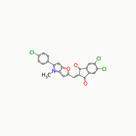 Cn1c(-c2ccc(Cl)cc2)cc2oc(C=C3C(=O)c4cc(Cl)c(Cl)cc4C3=O)cc21